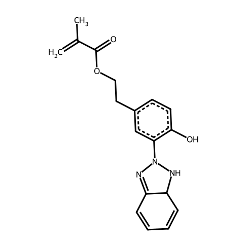 C=C(C)C(=O)OCCc1ccc(O)c(N2N=C3C=CC=CC3N2)c1